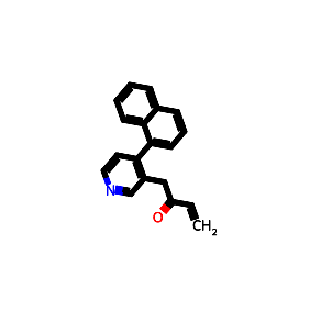 C=CC(=O)Cc1cnccc1-c1cccc2ccccc12